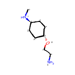 CN[C@H]1CC[C@H](OCCN)CC1